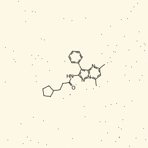 Cc1cc(C)n2nc(NC(=O)CCC3CCCC3)c(-c3ccccc3)c2n1